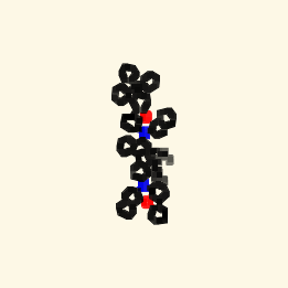 CC1(C)c2cc(N(c3ccc4ccccc4c3)c3cccc4c3oc3ccccc34)ccc2-c2c1cc(N(c1ccc3ccccc3c1)c1cccc3c1oc1ccc([Si](c4ccccc4)(c4ccccc4)c4ccccc4)cc13)c1ccccc21